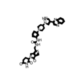 N=C/C(=C\NC1CCN(c2cccc(NC(=O)NCc3scc4c3CN(C3CCC(=O)NC3=O)C4=O)c2)CC1)c1cnc2ccccc2n1